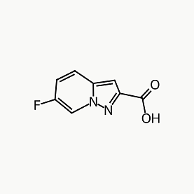 O=C(O)c1cc2ccc(F)cn2n1